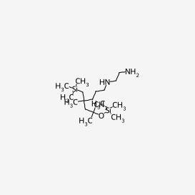 CC(CCCNCCN)(CC(C)(C)O[Si](C)(C)C)C[Si](C)(C)C